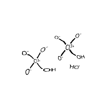 Cl.[O-][Cl+3]([O-])([O-])O.[O-][Cl+3]([O-])([O-])O